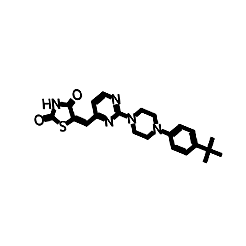 CC(C)(C)c1ccc(N2CCN(c3nccc(C=C4SC(=O)NC4=O)n3)CC2)cc1